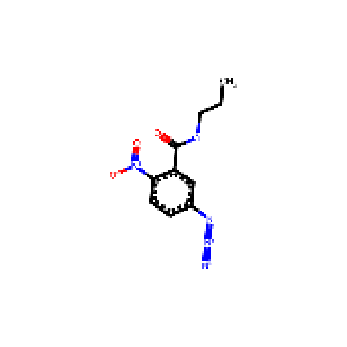 CCCNC(=O)c1cc(N=[N+]=[N-])ccc1[N+](=O)[O-]